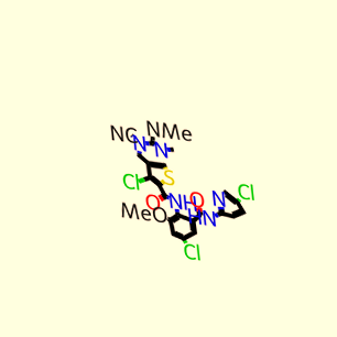 CN=C(NC)N(C#N)Cc1csc(C(=O)Nc2c(OC)cc(Cl)cc2C(=O)Nc2ccc(Cl)cn2)c1Cl